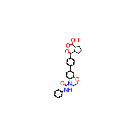 O=C(O)C1CCCC1C(=O)c1ccc(-c2ccc3c(c2)OCCN3C(=O)Nc2ccccc2)cc1